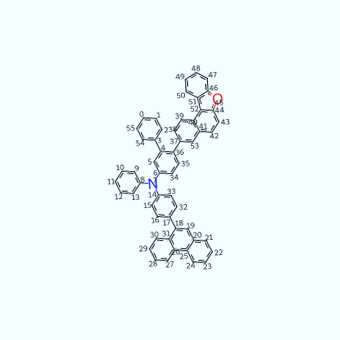 c1ccc(-c2cc(N(c3ccccc3)c3ccc(-c4cc5ccccc5c5ccccc45)cc3)ccc2-c2ccc3c(ccc4oc5ccccc5c43)c2)cc1